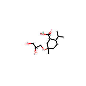 CC(C)C1CCC(C)(OCC(O)CO)CC1C(=O)O